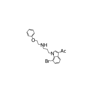 CC(=O)c1cn(CCCNCCOc2ccccc2)c2c(Br)cccc12